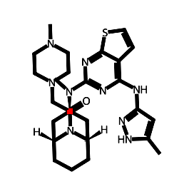 Cc1cc(Nc2nc(N(C)[C@@H]3C[C@H]4CCC[C@@H](C3)N4C(=O)CN3CCN(C)CC3)nc3sccc23)n[nH]1